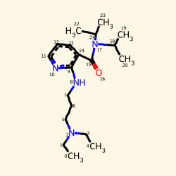 CCN(CC)CCCNc1ncccc1C(=O)N(C(C)C)C(C)C